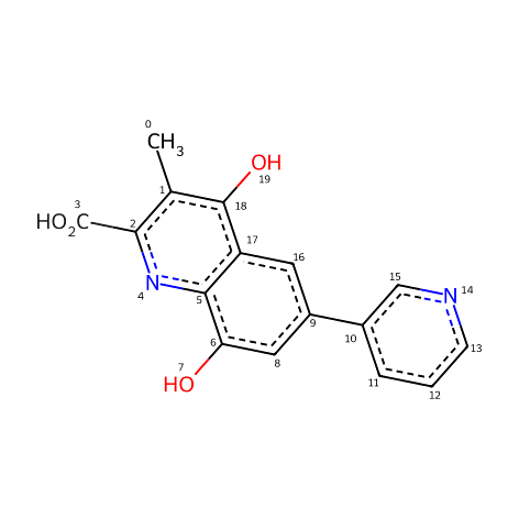 Cc1c(C(=O)O)nc2c(O)cc(-c3cccnc3)cc2c1O